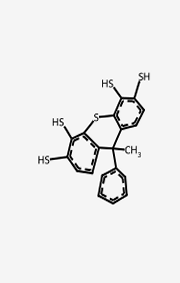 CC1(c2ccccc2)c2ccc(S)c(S)c2Sc2c1ccc(S)c2S